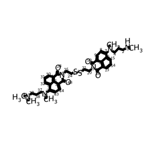 CNCCCN(C)c1ccc2c3c(cccc13)C(=O)N(CCSSCCN1C(=O)c3cccc4c(N(C)CCCN(C)C)ccc(c34)C1=O)C2=O